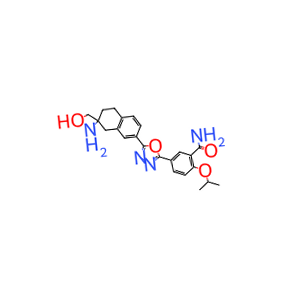 CC(C)Oc1ccc(-c2nnc(-c3ccc4c(c3)CC(N)(CO)CC4)o2)cc1C(N)=O